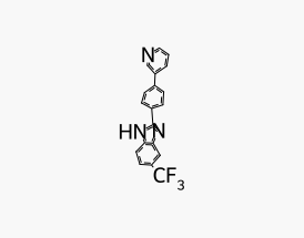 FC(F)(F)c1ccc2[nH]c(-c3ccc(-c4cccnc4)cc3)nc2c1